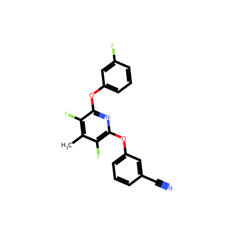 Cc1c(F)c(Oc2cccc(F)c2)nc(Oc2cccc(C#N)c2)c1F